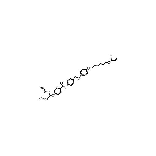 C=CC(=O)OCCCCCCOc1ccc(OCc2ccc(OC(=O)c3ccc(OC(CCCCC)OC(=O)C=C)cc3)cc2)cc1